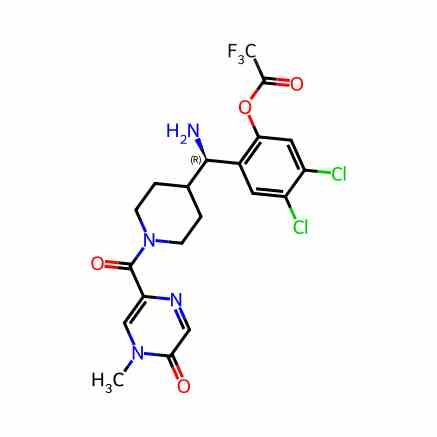 Cn1cc(C(=O)N2CCC([C@@H](N)c3cc(Cl)c(Cl)cc3OC(=O)C(F)(F)F)CC2)ncc1=O